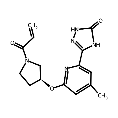 C=CC(=O)N1CC[C@H](Oc2cc(C)cc(-c3n[nH]c(=O)[nH]3)n2)C1